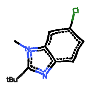 Cn1c(C(C)(C)C)nc2ccc(Cl)cc21